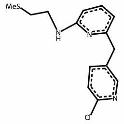 CSCCNc1cccc(Cc2ccc(Cl)nc2)n1